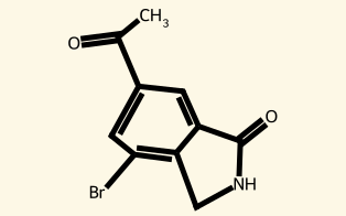 CC(=O)c1cc(Br)c2c(c1)C(=O)NC2